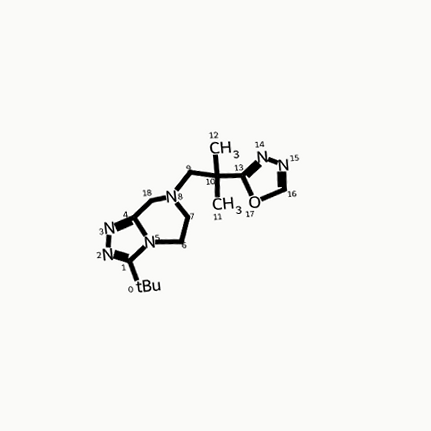 CC(C)(C)c1nnc2n1CCN(CC(C)(C)c1nnco1)C2